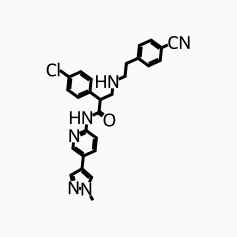 Cn1cc(-c2ccc(NC(=O)C(CNCCc3ccc(C#N)cc3)c3ccc(Cl)cc3)nc2)cn1